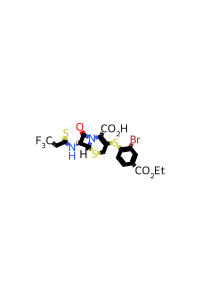 CCOC(=O)c1ccc(SC2=C(C(=O)O)N3C(=O)[C@@H](NC(=S)CC(F)(F)F)[C@H]3SC2)c(Br)c1